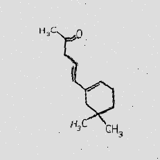 CC(=O)CC=CC1=CCCC(C)(C)C1